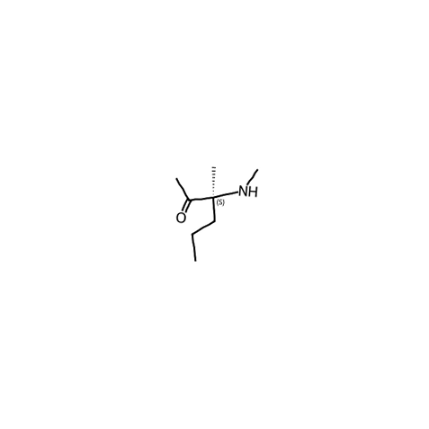 CCC[C@](C)(NC)C(C)=O